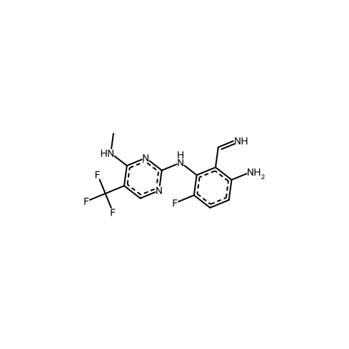 CNc1nc(Nc2c(F)ccc(N)c2C=N)ncc1C(F)(F)F